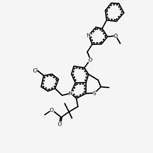 COC(=O)C(C)(C)Cc1c2c3c(c(OCc4cc(OC)c(-c5ccccc5)cn4)ccc3n1Cc1ccc(Cl)cc1)CC(C)S2